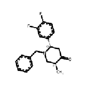 C[C@H]1CN(Cc2ccccc2)[C@H](c2ccc(F)c(F)c2)CC1=O